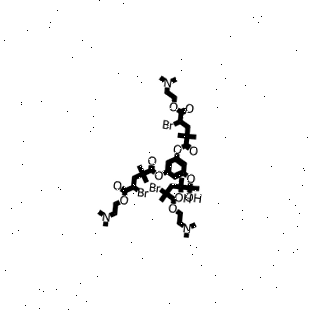 CN(C)CCOC(=O)C(Br)CC(C)(C)C(=O)Oc1cc(OC(=O)C(C)(C)CC(Br)C(=O)OCCN(C)C)cc(OC(C)(O)C(C)(C)CC(C)(Br)C(O)OCCN(C)C)c1